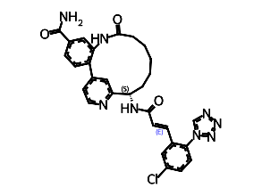 NC(=O)c1ccc2c(c1)NC(=O)CCCCC[C@H](NC(=O)/C=C/c1cc(Cl)ccc1-n1cnnn1)c1cc-2ccn1